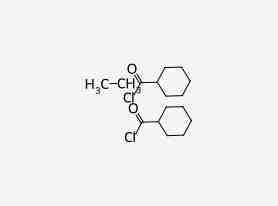 CC.O=C(Cl)C1CCCCC1.O=C(Cl)C1CCCCC1